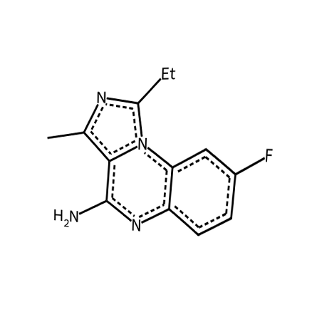 CCc1nc(C)c2c(N)nc3ccc(F)cc3n12